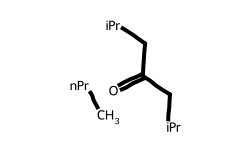 CC(C)CC(=O)CC(C)C.CCCC